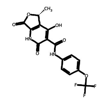 C[C@H]1OC(=O)c2[nH]c(=O)c(C(=O)Nc3ccc(OC(F)(F)F)cc3)c(O)c21